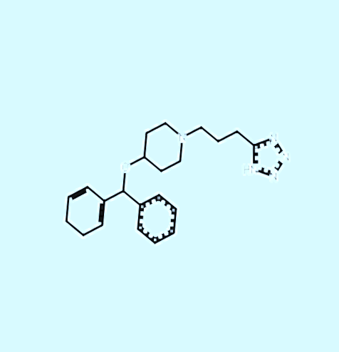 C1=CC(C(OC2CCN(CCCc3nnn[nH]3)CC2)c2ccccc2)=CCC1